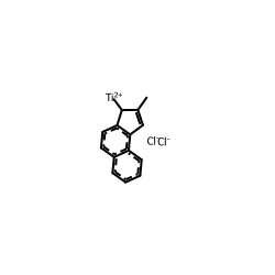 CC1=Cc2c(ccc3ccccc23)[CH]1[Ti+2].[Cl-].[Cl-]